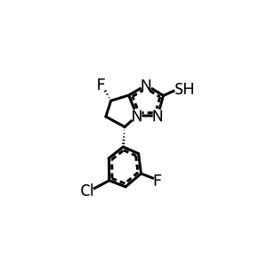 Fc1cc(Cl)cc([C@@H]2C[C@H](F)c3nc(S)nn32)c1